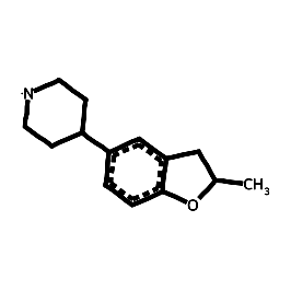 CC1Cc2cc(C3CC[N]CC3)ccc2O1